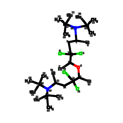 CCC(C[Si](Cl)(Cl)C(CC)OC(CC)[Si](Cl)(Cl)CC(CC)N([Si](C)(C)C(C)(C)C)[Si](C)(C)C(C)(C)C)N([Si](C)(C)C(C)(C)C)[Si](C)(C)C(C)(C)C